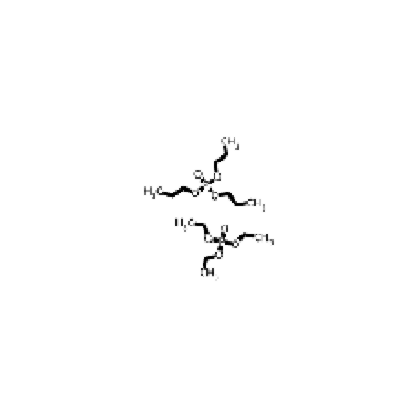 CCCOP(=O)(OCCC)OCCC.CCOP(=O)(OCC)OCC